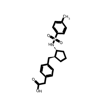 Cc1ccc(S(=O)(=O)N[C@@H]2CCC[C@H]2Cc2ccc(CC(=O)O)cc2)cc1